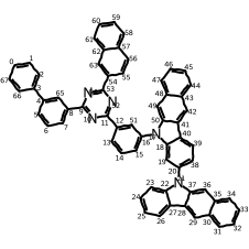 c1ccc(-c2cccc(-c3nc(-c4cccc(-n5c6cc(-n7c8ccccc8c8cc9ccccc9cc87)ccc6c6cc7ccccc7cc65)c4)nc(-c4ccc5ccccc5c4)n3)c2)cc1